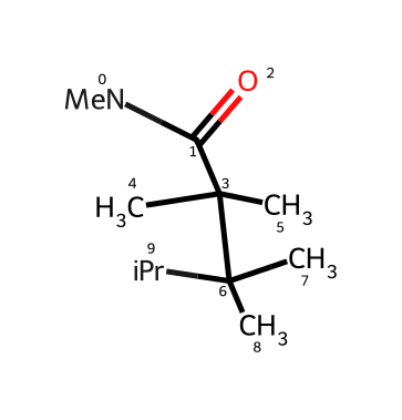 CNC(=O)C(C)(C)C(C)(C)C(C)C